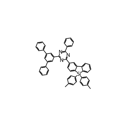 Cc1ccc([Si]2(c3ccc(C)cc3)c3ccccc3-c3cc(-c4nc(-c5ccccc5)nc(-c5cc(-c6ccccc6)cc(-c6ccccc6)c5)n4)ccc32)cc1